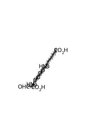 O=[C]CCC(NC(=O)CCOCCOCCOCCOCCNC(=O)CCCCCCCCCCCCC(=O)O)C(=O)O